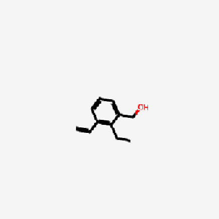 C=[C]c1cccc(CO)c1CC